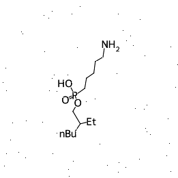 CCCCC(CC)COP(=O)(O)CCCCCN